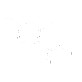 CCCC=C(C)c1ccc(Cl)cc1Cl